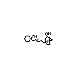 C[N+]1(CCCCC[N+]23CCC24CC4C(O)C3)CCCCC1